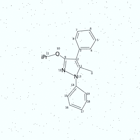 Cc1c(-c2ccccc2)c(OC(C)C)nn1-c1ccccc1